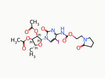 CC(=O)O[C@@H]1[C@H](OC(C)=O)[C@@H](C)O[C@H]1n1cc(I)c(NC(=O)OCCN2CCCC2=O)nc1=O